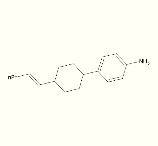 CCCC=CC1CCC(c2ccc(N)cc2)CC1